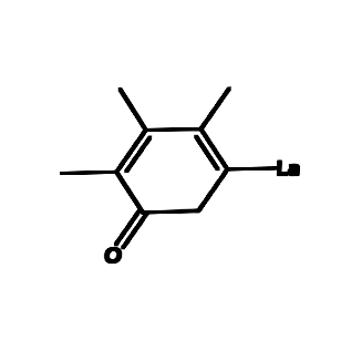 CC1=[C]([La])CC(=O)C(C)=C1C